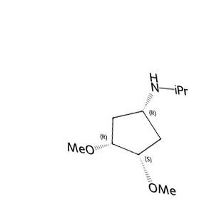 CO[C@H]1C[C@@H](NC(C)C)C[C@H]1OC